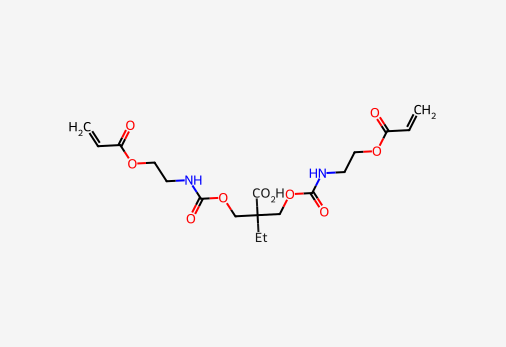 C=CC(=O)OCCNC(=O)OCC(CC)(COC(=O)NCCOC(=O)C=C)C(=O)O